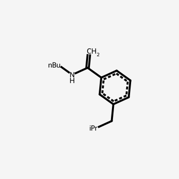 C=C(NCCCC)c1cccc(CC(C)C)c1